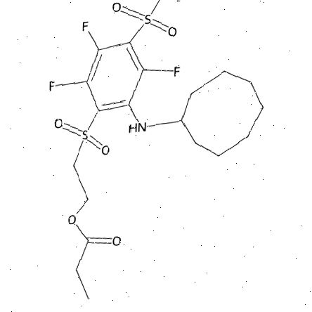 CCC(=O)OCCS(=O)(=O)c1c(F)c(F)c(S(N)(=O)=O)c(F)c1NC1CCCCCCC1